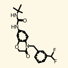 CC(C)(C)NC(=O)Nc1ccc2c(c1)OCC(=O)N2Cc1cccc(C(F)F)c1